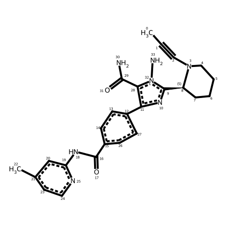 CC#CN1CCCC[C@H]1c1nc(-c2ccc(C(=O)Nc3cc(C)ccn3)cc2)c(C(N)=O)n1N